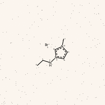 CCN[n+]1ccn(C)c1.[Br-]